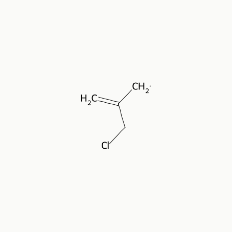 [CH2]C(=C)CCl